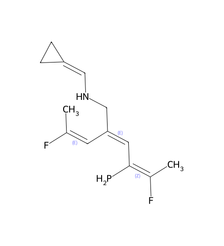 C\C(F)=C(P)/C=C(\C=C(/C)F)CNC=C1CC1